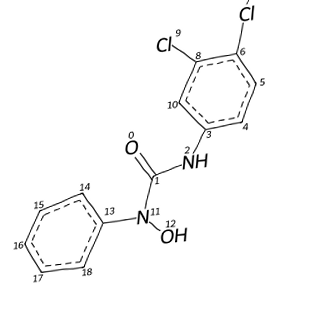 O=C(Nc1ccc(Cl)c(Cl)c1)N(O)c1ccccc1